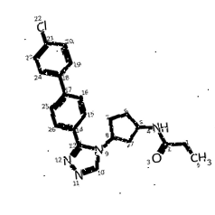 CCC(=O)NC1CCC(n2cnnc2-c2ccc(-c3ccc(Cl)cc3)cc2)C1